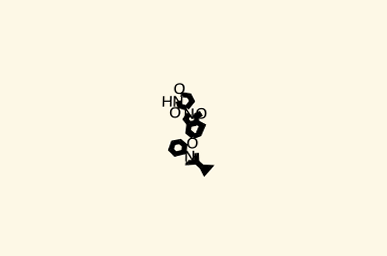 O=C1CCC(N2Cc3cc(O[C@H]4CCCC[C@@H]4N4CC(C5CC5)C4)ccc3C2=O)C(=O)N1